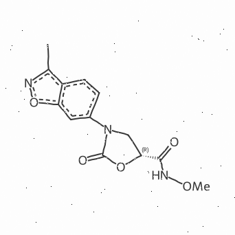 CONC(=O)[C@H]1CN(c2ccc3c(C)noc3c2)C(=O)O1